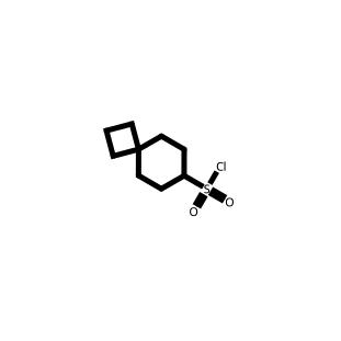 O=S(=O)(Cl)C1CCC2(CCC2)CC1